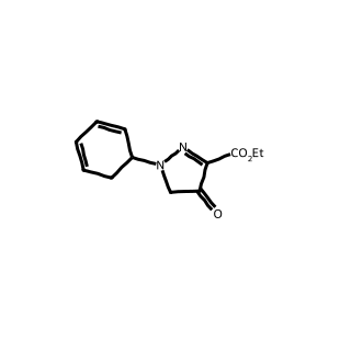 CCOC(=O)C1=NN(C2C=CC=CC2)CC1=O